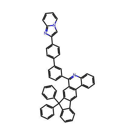 c1ccc(C2(c3ccccc3)c3ccccc3-c3cc4c(cc32)c(-c2cccc(-c3ccc(-c5cn6ccccc6n5)cc3)c2)nc2ccccc24)cc1